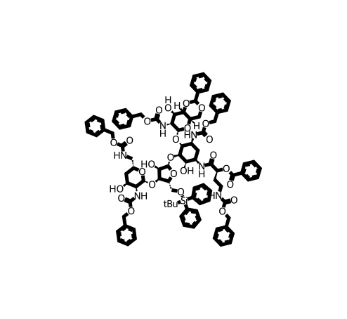 CC(C)(C)[Si](OC[C@H]1O[C@@H](O[C@@H]2[C@@H](O)[C@H](NC(=O)[C@H](CCNC(=O)OCc3ccccc3)OC(=O)c3ccccc3)C[C@H](NC(=O)OCc3ccccc3)[C@H]2O[C@H]2O[C@@H]3COC(c4ccccc4)O[C@H]3[C@H](O)[C@H]2NC(=O)OCc2ccccc2)[C@H](O)[C@@H]1O[C@H]1O[C@@H](CNC(=O)OCc2ccccc2)C[C@H](O)[C@H]1NC(=O)OCc1ccccc1)(c1ccccc1)c1ccccc1